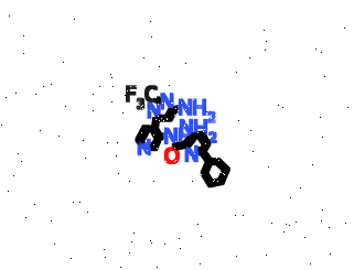 Nc1cc(-c2ccncc2NC(=O)c2nc(C3CCCCC3)ccc2N)nc(C(F)(F)F)n1